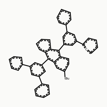 CC(C)(C)c1ccc2c(-c3cc(-c4ccccc4)cc(-c4ccccc4)c3)c3ccccc3c(-c3cc(-c4ccccc4)cc(-c4ccccc4)c3)c2c1